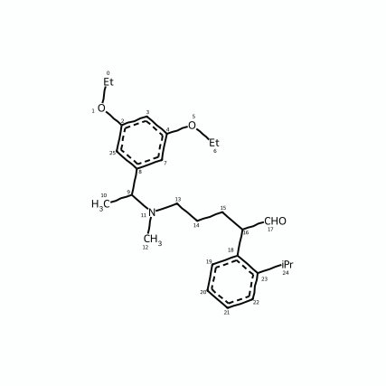 CCOc1cc(OCC)cc(C(C)N(C)CCCC(C=O)c2ccccc2C(C)C)c1